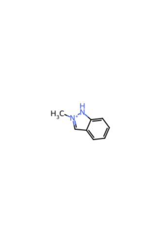 C[n+]1cc2ccccc2[nH]1